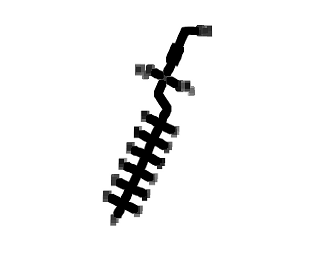 C[Si](C)(C#CCO)CCC(F)(F)C(F)(F)C(F)(F)C(F)(F)C(F)(F)C(F)(F)F